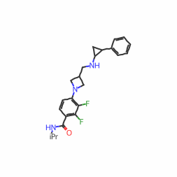 CC(C)NC(=O)c1ccc(N2CC(CNC3CC3c3ccccc3)C2)c(F)c1F